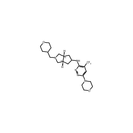 FC(F)(F)c1cc(N2CCOCC2)nnc1NC1C[C@@H]2CN(CC3CCOCC3)C[C@@H]2C1